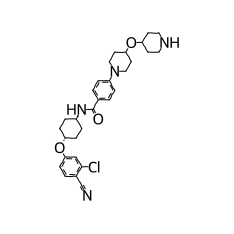 N#Cc1ccc(O[C@H]2CC[C@H](NC(=O)c3ccc(N4CCC(OC5CCNCC5)CC4)cc3)CC2)cc1Cl